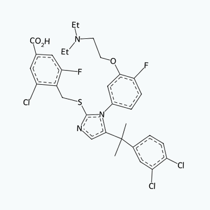 CCN(CC)CCOc1cc(-n2c(C(C)(C)c3ccc(Cl)c(Cl)c3)cnc2SCc2c(F)cc(C(=O)O)cc2Cl)ccc1F